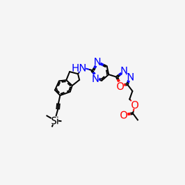 CC(=O)OCCc1nnc(-c2cnc(NC3Cc4ccc(C#C[Si](C)(C)C)cc4C3)nc2)o1